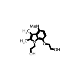 CNc1ccc(OCCO)c2c1c(C)c(C)n2CCO